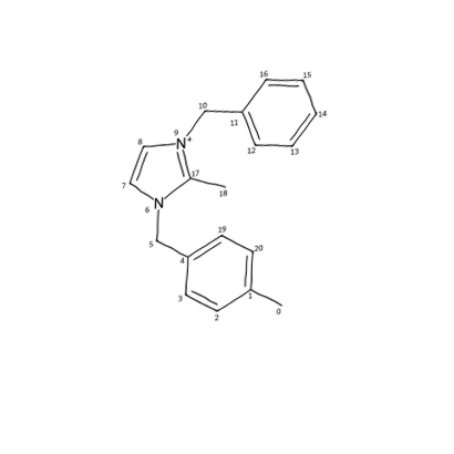 Cc1ccc(Cn2cc[n+](Cc3ccccc3)c2C)cc1